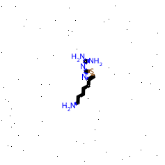 NCCCCCc1csc(N=C(N)N)n1